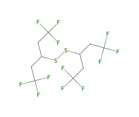 FC(F)(F)CC(CC(F)(F)F)SSC(CC(F)(F)F)CC(F)(F)F